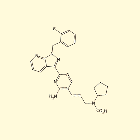 Nc1nc(-c2nn(Cc3ccccc3F)c3ncccc23)ncc1C=CCN(C(=O)O)C1CCCC1